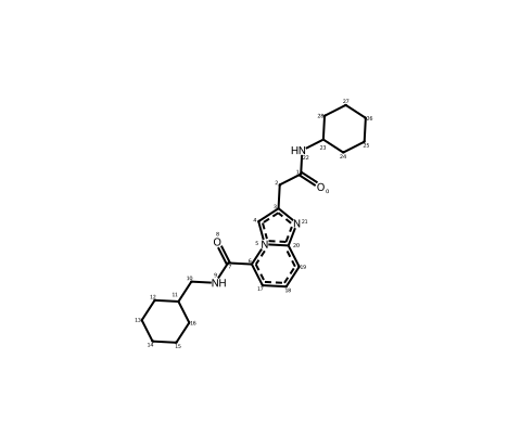 O=C(Cc1cn2c(C(=O)NCC3CCCCC3)cccc2n1)NC1CCCCC1